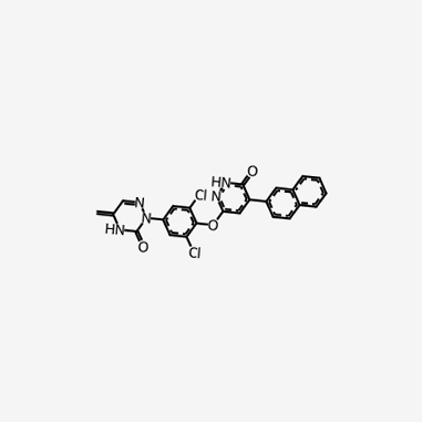 C=C1C=NN(c2cc(Cl)c(Oc3cc(-c4ccc5ccccc5c4)c(=O)[nH]n3)c(Cl)c2)C(=O)N1